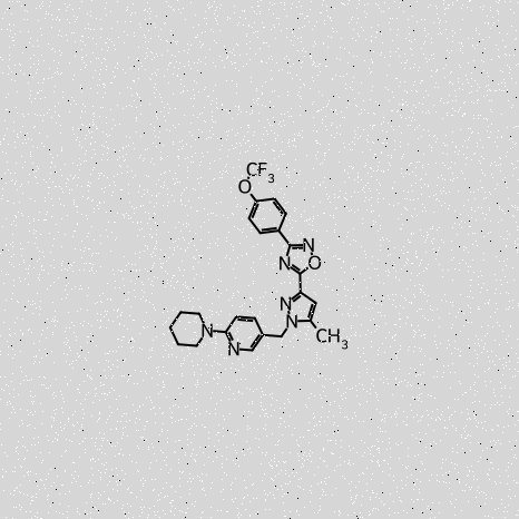 Cc1cc(-c2nc(-c3ccc(OC(F)(F)F)cc3)no2)nn1Cc1ccc(N2CCCCC2)nc1